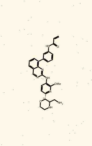 C=CC(=O)Nc1cccc(-c2cccc3cnc(Nc4ccc([C@H]5OCCNC5CN)nc4OC)nc23)c1